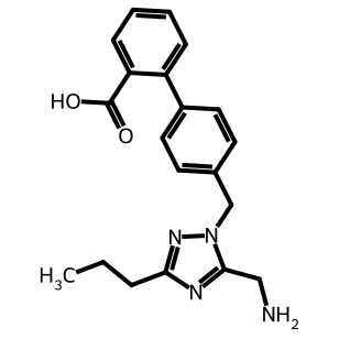 CCCc1nc(CN)n(Cc2ccc(-c3ccccc3C(=O)O)cc2)n1